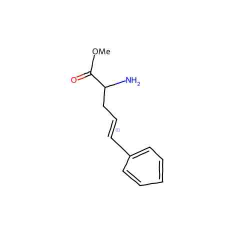 COC(=O)C(N)C/C=C/c1ccccc1